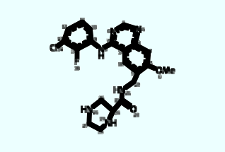 COc1cc2ncnc(Nc3cccc(Cl)c3F)c2cc1CNC(=O)C1CNCCN1